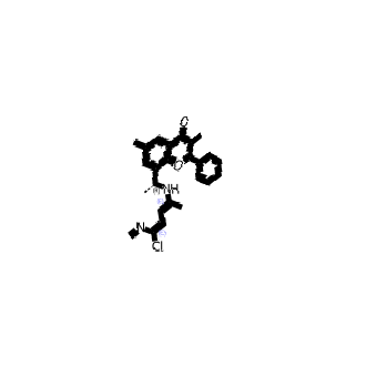 C=N/C(Cl)=C\C=C(/C)N[C@H](C)c1cc(C)cc2c(=O)c(C)c(-c3ccccc3)oc12